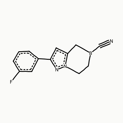 N#CB1CCn2nc(-c3cccc(F)c3)cc2C1